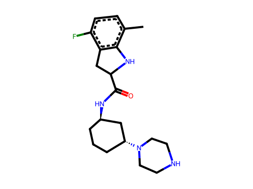 Cc1ccc(F)c2c1NC(C(=O)N[C@@H]1CCC[C@@H](N3CCNCC3)C1)C2